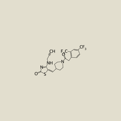 C#CCNC1=NC(=O)SC1=CC1CCN(C(=O)Cc2ccc(C(F)(F)F)cc2C(F)(F)F)CC1